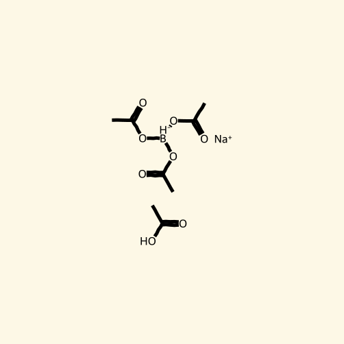 CC(=O)O.CC(=O)O[BH-](OC(C)=O)OC(C)=O.[Na+]